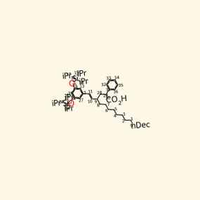 CCCCCCCCCCCCCCCCCCC(C=Cc1cc(O[Si](C(C)C)(C(C)C)C(C)C)cc(O[Si](C(C)C)(C(C)C)C(C)C)c1)CC(C(=O)O)c1ccccc1